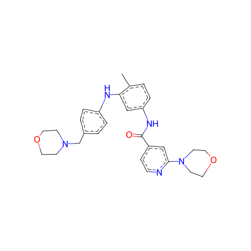 Cc1ccc(NC(=O)c2ccnc(N3CCOCC3)c2)cc1Nc1ccc(CN2CCOCC2)cc1